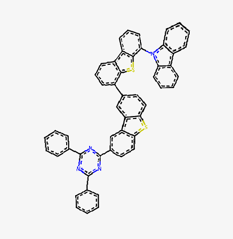 c1ccc(-c2nc(-c3ccccc3)nc(-c3ccc4sc5ccc(-c6cccc7c6sc6c(-n8c9ccccc9c9ccccc98)cccc67)cc5c4c3)n2)cc1